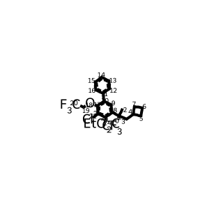 CCOC(=O)C(C)(CC1CCC1)c1cc(-c2ccccc2)c(OCC(F)(F)F)c(Cl)c1C(F)(F)F